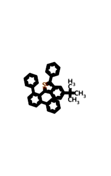 CC(C)(C)c1ccc2c(-c3c(-c4ccccc4)cccc3-c3ccccc3)sc(-c3ccccc3)c2c1